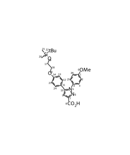 COc1ccc(-n2nc(C(=O)O)cc2-c2ccc(OCCO[Si](C)(C)C(C)(C)C)cc2)cc1